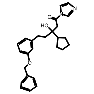 O=C(CC(O)(CCc1cccc(OCc2ccccc2)c1)C1CCCC1)n1ccnc1